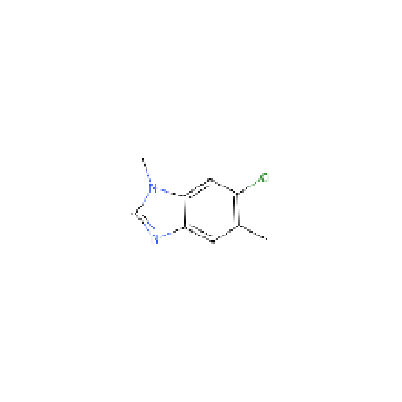 Cc1cc2n[c]n(C)c2cc1Cl